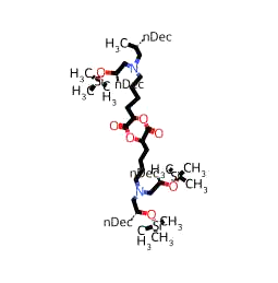 CCCCCCCCCC[C@@H](C)CN(CCCCC1OC(=O)C(CCCCN(C[C@@H](CCCCCCCCCC)O[Si](C)(C)C)C[C@@H](CCCCCCCCCC)O[Si](C)(C)C)OC1=O)C[C@@H](CCCCCCCCCC)O[Si](C)(C)C